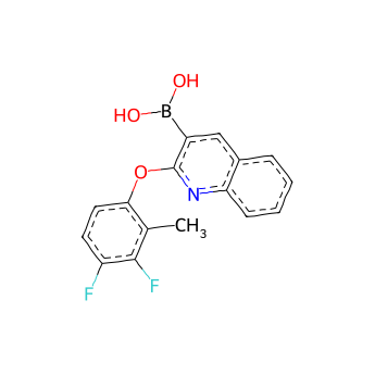 Cc1c(Oc2nc3ccccc3cc2B(O)O)ccc(F)c1F